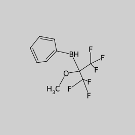 COC(Bc1ccccc1)(C(F)(F)F)C(F)(F)F